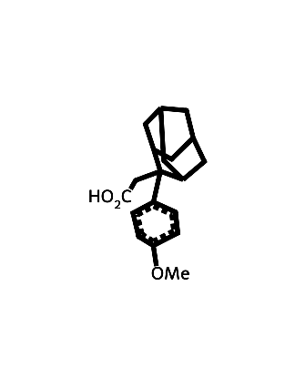 COc1ccc(C2(CC(=O)O)C3CC4CC(C3)CC2C4)cc1